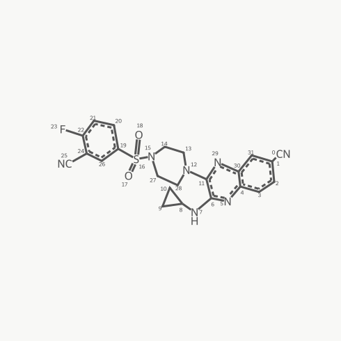 N#Cc1ccc2nc(NC3CC3)c(N3CCN(S(=O)(=O)c4ccc(F)c(C#N)c4)CC3)nc2c1